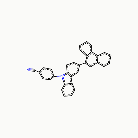 N#Cc1ccc(-n2c3ccccc3c3cc(-c4cc5ccccc5c5ccccc45)ccc32)cc1